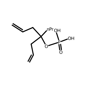 C=CCC(CC=C)(CCC)OP(=O)(O)O